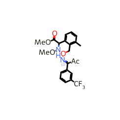 CONC(C(=O)OC)c1cccc(C)c1CO/N=C(\C(C)=O)c1cccc(C(F)(F)F)c1